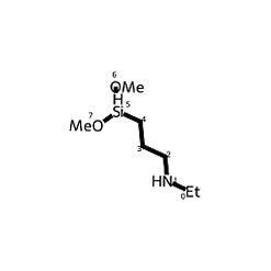 CCNCCC[SiH](OC)OC